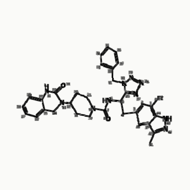 CCc1cc(CC(NC(=O)N2CCC(N3Cc4ccccc4NC3=O)CC2)c2nnnn2Cc2ccccc2)cc2c(C)n[nH]c12